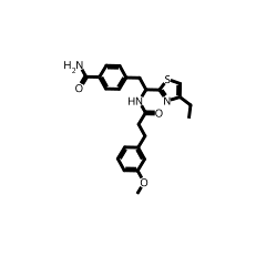 CCc1csc(C(Cc2ccc(C(N)=O)cc2)NC(=O)CCc2cccc(OC)c2)n1